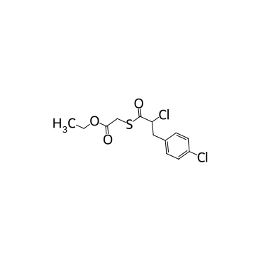 CCOC(=O)CSC(=O)C(Cl)Cc1ccc(Cl)cc1